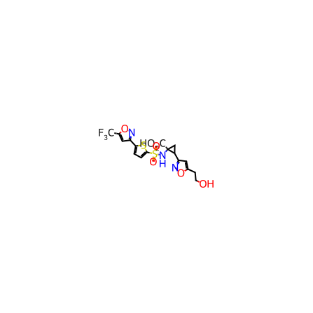 O=C(O)C1(NS(=O)(=O)c2ccc(-c3cc(C(F)(F)F)on3)s2)CC1c1cc(CCO)on1